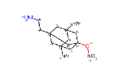 CCCC12CC3(CCC)CC(CCN)(C1)CC(O[N+](=O)[O-])(C2)C3